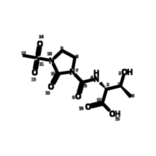 C[C@H](O)[C@@H](NC(=O)N1CCN(S(C)(=O)=O)C1=O)C(=O)O